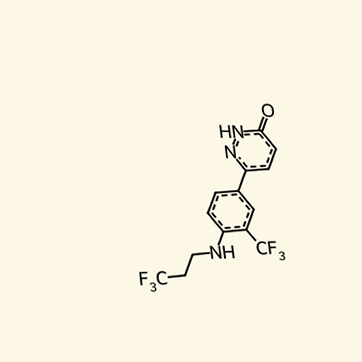 O=c1ccc(-c2ccc(NCCC(F)(F)F)c(C(F)(F)F)c2)n[nH]1